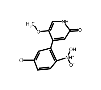 COc1c[nH]c(=O)cc1-c1cc(Cl)ccc1[NH+]([O-])O